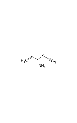 C=CCSC#N.N